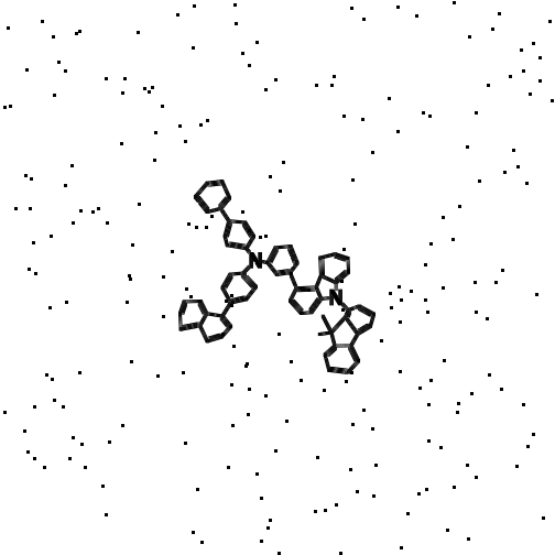 CC1(C)c2ccccc2-c2cccc(-n3c4ccccc4c4c(-c5cccc(N(c6ccc(-c7ccccc7)cc6)c6ccc(-c7cccc8ccccc78)cc6)c5)cccc43)c21